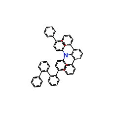 c1ccc(-c2ccc(N(c3ccc(-c4ccccc4-c4ccccc4-c4ccccc4)cc3)c3c(-c4ccccc4)cccc3-c3ccccc3)cc2)cc1